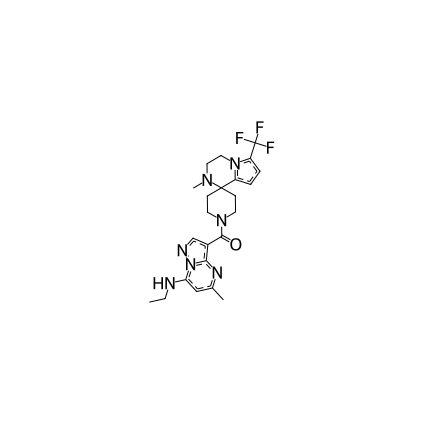 CCNc1cc(C)nc2c(C(=O)N3CCC4(CC3)c3ccc(C(F)(F)F)n3CCN4C)cnn12